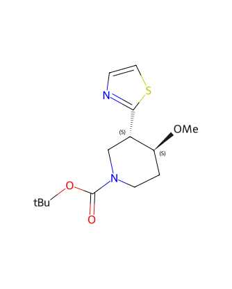 CO[C@H]1CCN(C(=O)OC(C)(C)C)C[C@@H]1c1nccs1